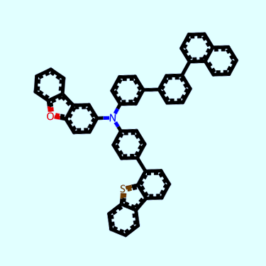 c1cc(-c2cccc(N(c3ccc(-c4cccc5c4sc4ccccc45)cc3)c3ccc4oc5ccccc5c4c3)c2)cc(-c2cccc3ccccc23)c1